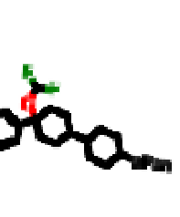 CCCCCC1CCC(C2CCC(OC(F)F)(c3ccccc3)CC2)CC1